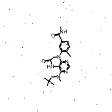 CNC(=O)c1ccc(C)c(N2CC(=O)Nc3c(N(C)CC(C)(C)C)ncnc32)c1